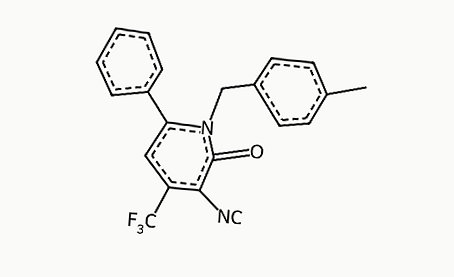 [C-]#[N+]c1c(C(F)(F)F)cc(-c2ccccc2)n(Cc2ccc(C)cc2)c1=O